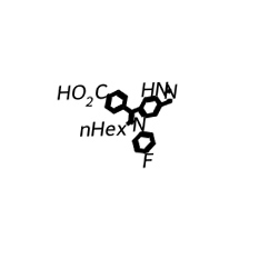 CCCCCCc1c(-c2ccc(C(=O)O)cc2)c2cc3[nH]ncc3cc2n1-c1ccc(F)cc1